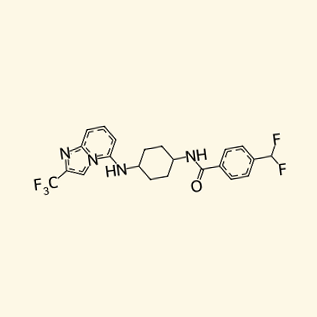 O=C(NC1CCC(Nc2cccc3nc(C(F)(F)F)cn23)CC1)c1ccc(C(F)F)cc1